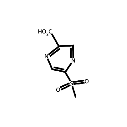 CS(=O)(=O)c1cnc(C(=O)O)cn1